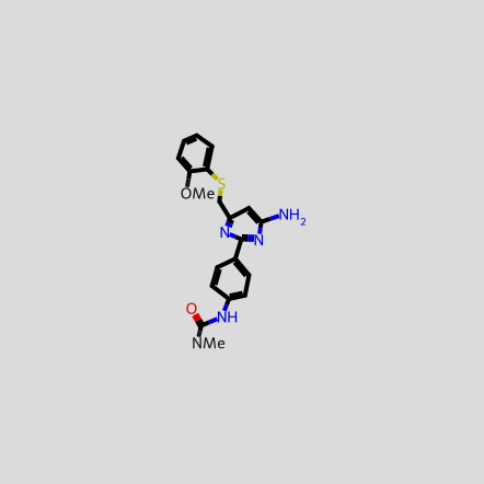 CNC(=O)Nc1ccc(-c2nc(N)cc(CSc3ccccc3OC)n2)cc1